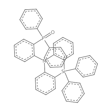 O=P(c1ccccc1)(c1ccccc1)c1ccccc1N1c2ccccc2[Si](c2ccccc2)(c2ccccc2)c2ccccc21